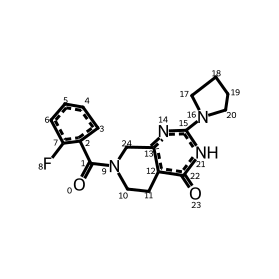 O=C(c1ccccc1F)N1CCc2c(nc(N3CCCC3)[nH]c2=O)C1